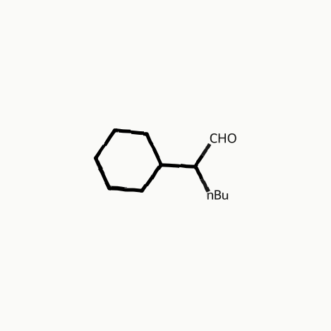 CCCCC(C=O)C1CCCCC1